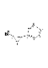 BrC1CC1c1ccccc1